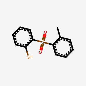 Cc1ccccc1S(=O)(=O)c1ccccc1S